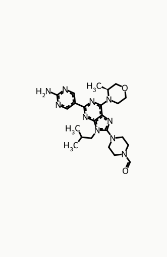 CC(C)Cn1c(N2CCN(C=O)CC2)nc2c(N3CCOC[C@@H]3C)nc(-c3cnc(N)nc3)nc21